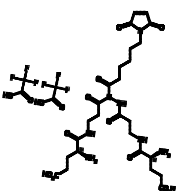 N[C@@H](CCC(=O)O)C(=O)NCCC(=O)NN(C(=O)CCCCCN1C(=O)C=CC1=O)C(=O)CCNC(=O)[C@@H](N)CCC(=O)O.O=C(O)C(F)(F)F.O=C(O)C(F)(F)F